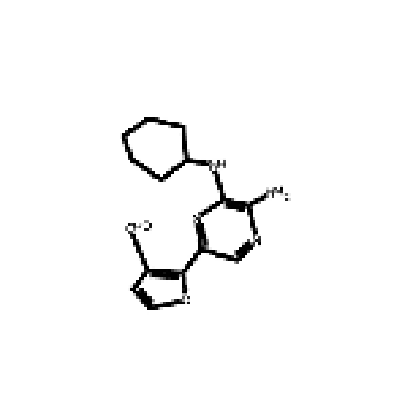 Nc1ncc(-c2occc2C=O)nc1NC1CCCCC1